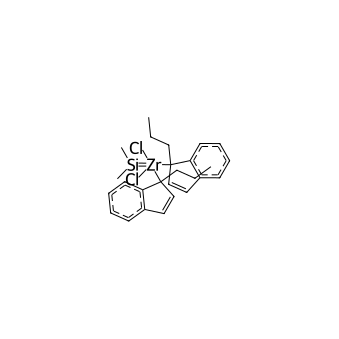 CCC[C]1([Zr]([Cl])([Cl])(=[Si](C)C)[C]2(CCC)C=Cc3ccccc32)C=Cc2ccccc21